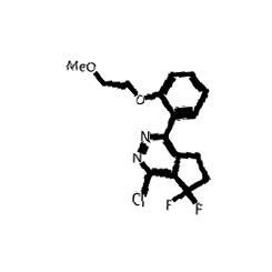 COCCOc1ccccc1-c1nnc(Cl)c2c1CCC2(F)F